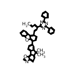 C=C/C=C(\C=C\c1ccc(-c2ccc3c(c2)C(C)(C)c2ccc4ncoc4c2-3)c2oc3ccccc3c12)c1nc(-c2ccccc2)nc(-c2ccccc2)n1